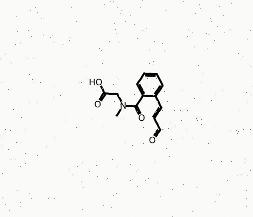 CN(CC(=O)O)C(=O)c1ccccc1/C=C/[C]=O